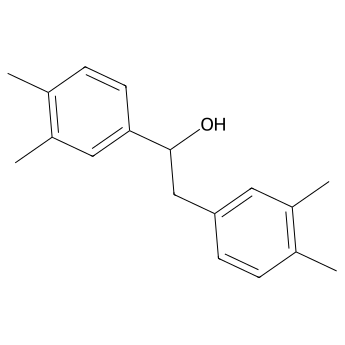 Cc1ccc(CC(O)c2ccc(C)c(C)c2)cc1C